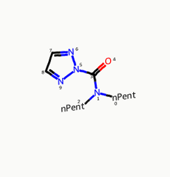 CCCCCN(CCCCC)C(=O)n1nccn1